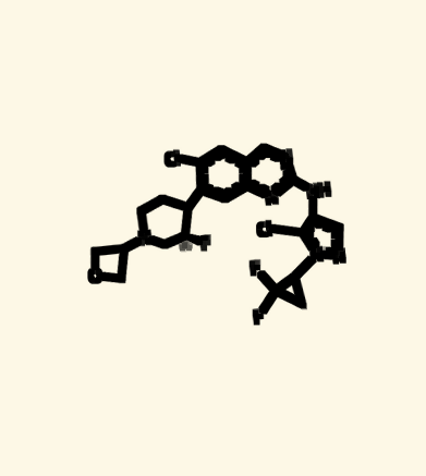 F[C@H]1CN(C2COC2)CCC1c1cc2nc(Nc3cnn(C4CC4(F)F)c3Cl)ncc2cc1Cl